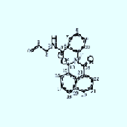 C=CCNC(=O)c1ccccc1N1C(=O)c2cccc3cccc(c23)C1=O